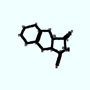 O=C1NC(=O)C2CC3=C(CCCC3)CC12